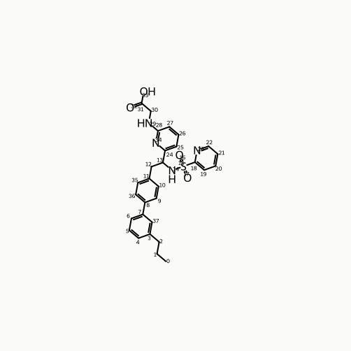 CCCc1cccc(-c2ccc(CC(NS(=O)(=O)c3ccccn3)c3cccc(NCC(=O)O)n3)cc2)c1